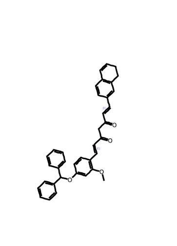 COc1cc(OC(c2ccccc2)c2ccccc2)ccc1/C=C/C(=O)CC(=O)/C=C/c1ccc2c(c1)CCC=C2